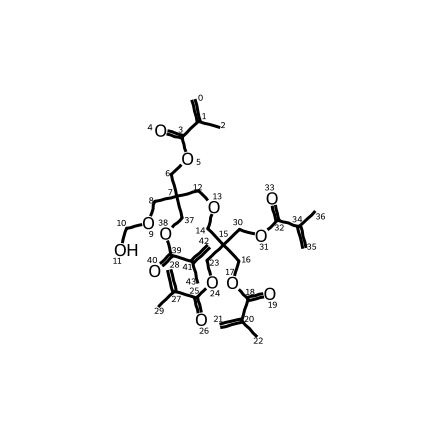 C=C(C)C(=O)OCC(COCO)(COCC(COC(=O)C(=C)C)(COC(=O)C(=C)C)COC(=O)C(=C)C)COC(=O)C(=C)C